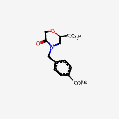 COc1ccc(CN2CC(C(=O)O)OCC2=O)cc1